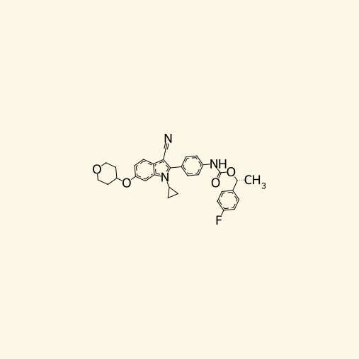 C[C@@H](OC(=O)Nc1ccc(-c2c(C#N)c3ccc(OC4CCOCC4)cc3n2C2CC2)cc1)c1ccc(F)cc1